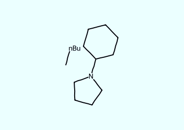 C1CCC(N2CCCC2)CC1.CCCCC